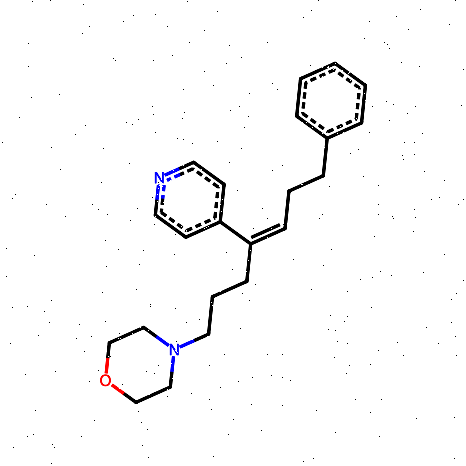 C(CCc1ccccc1)=C(CCCN1CCOCC1)c1ccncc1